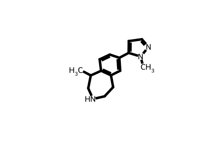 CC1CNCCc2cc(-c3ccnn3C)ccc21